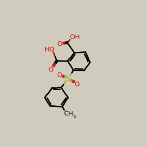 Cc1cccc(S(=O)(=O)c2cccc(C(=O)O)c2C(=O)O)c1